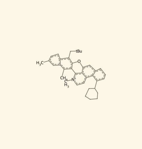 Cc1ccc2c(CC(C)(C)C)c3c(c(C)c2c1)-c1c2c(cc4cccc(C5CCCCC5)c4c2cc[n+]1C)O3